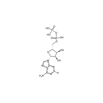 Nc1nc(F)nc2c1ncn2[C@@H]1O[C@H](COP(=O)(O)OP(=O)(O)O)[C@@H](O)[C@H]1O